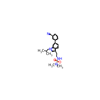 CC(C)Cn1cc(CCNS(=O)(=O)N(C)C)c2ccc(-c3cccc(C#N)c3)cc21